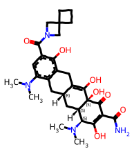 CN(C)c1cc(C(=O)N2CC3(CCC3)C2)c(O)c2c1C[C@H]1C[C@H]3[C@H](N(C)C)C(O)=C(C(N)=O)C(=O)[C@@]3(O)C(O)=C1C2